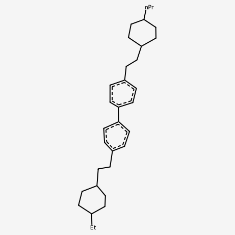 CCCC1CCC(CCc2ccc(-c3ccc(CCC4CCC(CC)CC4)cc3)cc2)CC1